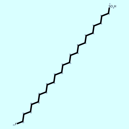 O=S(=O)(O)CCCCCCCCCCCCCCCCCCCCCCCF